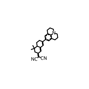 CC1(C)CC(=C(C#N)C#N)C=C2C=C(c3cc4c5c(c3)CCCN5CCC4)CCC21